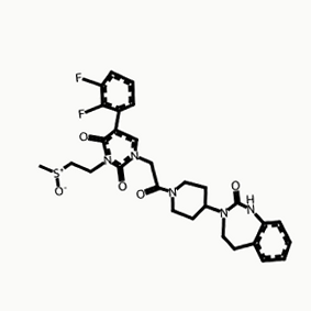 C[S+]([O-])CCn1c(=O)c(-c2cccc(F)c2F)cn(CC(=O)N2CCC(N3CCc4ccccc4NC3=O)CC2)c1=O